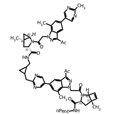 CCCCCNC(=O)[C@@H]1C[C@@]2(C)C=C[C@H]2N1C(=O)Cn1nc(C(C)=O)c2cc(-c3cnc(CC4CC4CNC(=O)[C@@H]4C[C@@]5(C)C[C@H]5N4C(=O)Cn4nc(C(C)=O)c5cc(-c6cnc(C)nc6)cc(C)c54)nc3)cc(C)c21